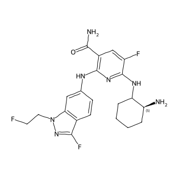 NC(=O)c1cc(F)c(NC2CCCC[C@@H]2N)nc1Nc1ccc2c(F)nn(CCF)c2c1